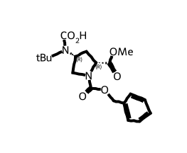 COC(=O)[C@H]1C[C@@H](N(C(=O)O)C(C)(C)C)CN1C(=O)OCc1ccccc1